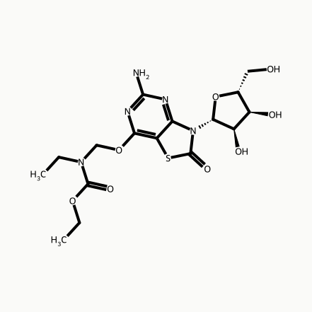 CCOC(=O)N(CC)COc1nc(N)nc2c1sc(=O)n2[C@@H]1O[C@H](CO)[C@@H](O)[C@H]1O